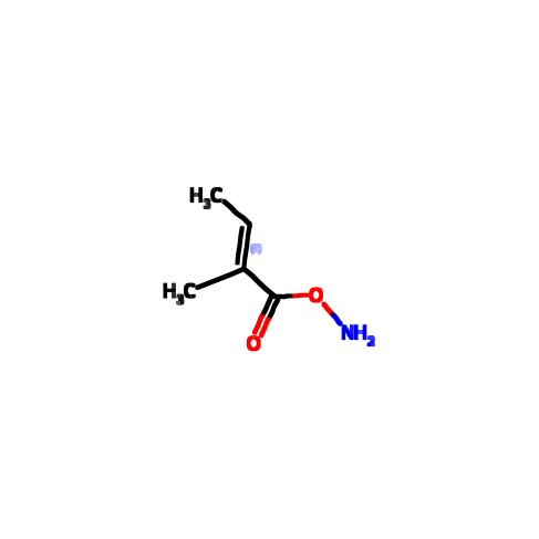 C/C=C(\C)C(=O)ON